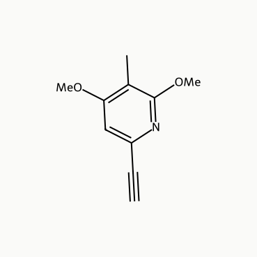 C#Cc1cc(OC)c(C)c(OC)n1